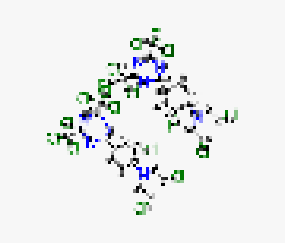 ClCCN(CCCl)c1ccc(-c2nc(C(Cl)(Cl)Cl)nc(C(Cl)(Cl)Cl)n2)cc1Cl.Fc1cc(-c2nc(C(Cl)(Cl)Cl)nc(C(Cl)(Cl)Cl)n2)ccc1N(CCCl)CCCl